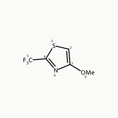 COc1csc(C(F)(F)F)n1